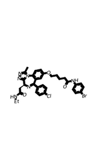 CCNC(=O)C[C@@H]1N=C(c2ccc(Cl)cc2)c2cc(OCCCCC(=O)Nc3ccc(Br)cc3)ccc2-n2c(C)nnc21